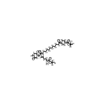 CN1CC(=O)N([C@@H](CCCCNC(=O)OC(C)(C)C)C(=O)NCCCCCCCCCCC(=O)N2CCN(C(=O)OC(C)(C)C)CC2)CC1=O